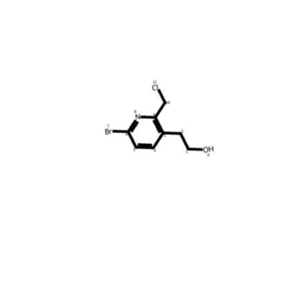 OCCc1ccc(Br)nc1CCl